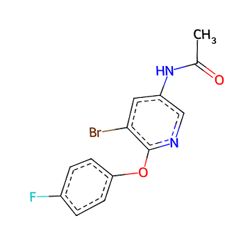 CC(=O)Nc1cnc(Oc2ccc(F)cc2)c(Br)c1